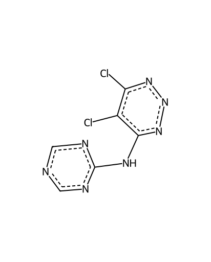 Clc1nnnc(Nc2ncncn2)c1Cl